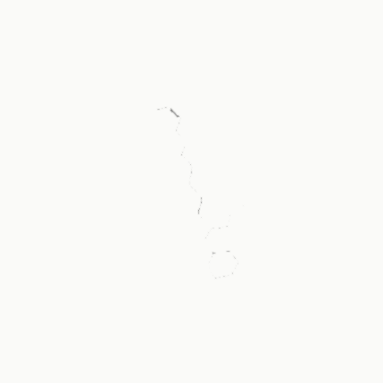 CCCCCCCC/C=C\CCCCCCC[C@H](CC=O)OC1CCCCO1